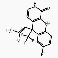 CC(C)=CC1(C(F)(F)F)c2cc(F)ccc2Nc2c1cc[nH]c2=O